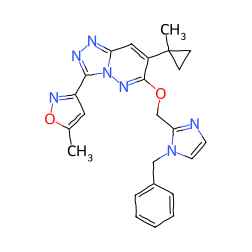 Cc1cc(-c2nnc3cc(C4(C)CC4)c(OCc4nccn4Cc4ccccc4)nn23)no1